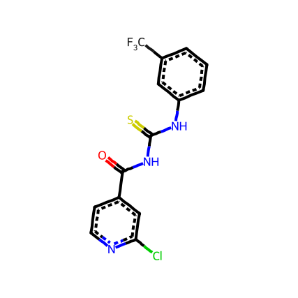 O=C(NC(=S)Nc1cccc(C(F)(F)F)c1)c1ccnc(Cl)c1